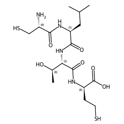 CC(C)C[C@H](NC(=O)[C@@H](N)CS)C(=O)N[C@H](C(=O)N[C@H](CCS)C(=O)O)[C@@H](C)O